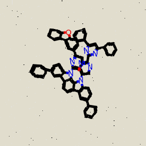 c1ccc(-c2ccc3c(c2)c2ccc4c5cc(-c6ccccc6)ccc5n(-c5cccc(-c6ccc7oc8ccccc8c7c6)n5)c4c2n3-c2cnc(-c3nc(-c4ccccc4)cc(-c4ccccc4)n3)nc2)cc1